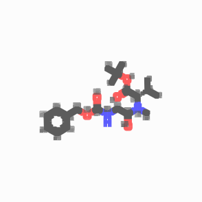 CC(C)[C@@H](C(=O)OC(C)(C)C)N(C)C(=O)CNC(=O)OCc1ccccc1